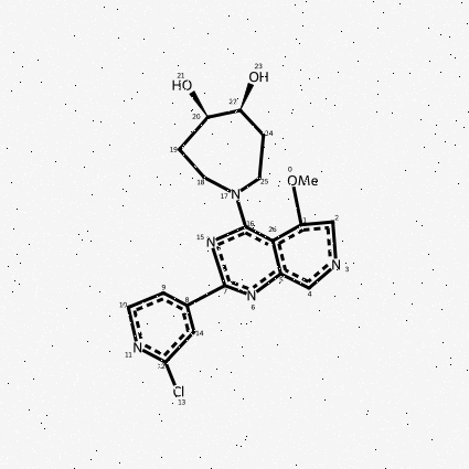 COc1cncc2nc(-c3ccnc(Cl)c3)nc(N3CC[C@@H](O)[C@@H](O)CC3)c12